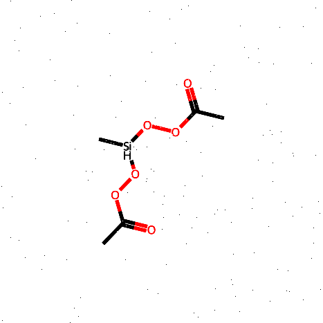 CC(=O)OO[SiH](C)OOC(C)=O